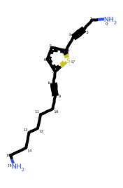 NCC#Cc1ccc(C#CCCCCCCN)s1